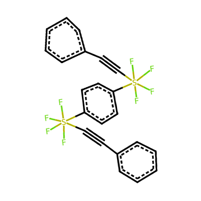 FS(F)(F)(F)(C#Cc1ccccc1)c1ccc(S(F)(F)(F)(F)C#Cc2ccccc2)cc1